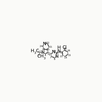 CC(C)n1cc(-c2ccnc(Nc3ccccc3Cl)n2)c2ccncc21